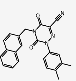 Cc1ccc(-n2nc(C#N)c(=O)n(Cc3ccc4ccccc4c3)c2=O)cc1C